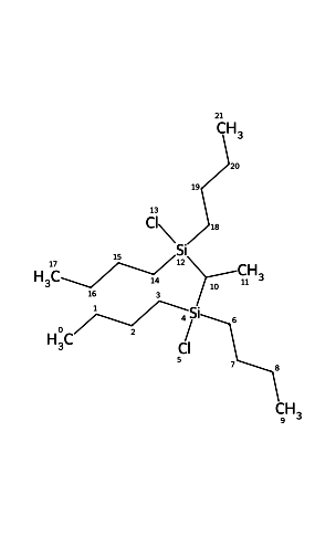 CCCC[Si](Cl)(CCCC)C(C)[Si](Cl)(CCCC)CCCC